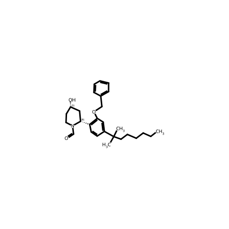 CCCCCCC(C)(C)c1ccc([C@H]2C[C@@H](O)CCN2C=O)c(OCc2ccccc2)c1